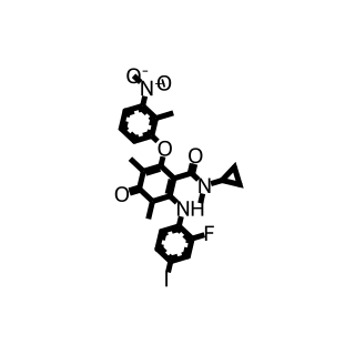 CC1=C(Oc2cccc([N+](=O)[O-])c2C)C(C(=O)N(C)C2CC2)=C(Nc2ccc(I)cc2F)C(C)C1=O